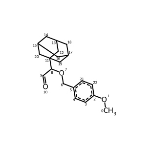 COc1ccc(COC(C=O)C23CC4CC(CC(C4)C2)C3)cc1